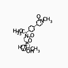 CC(c1ccc(-c2ccn(C)c(=O)c2)cc1)N1CC[C@](CC(C)(C)O)(c2ccccc2)OC1=O.O